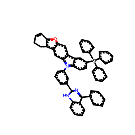 C1=Cc2oc3cc4c5cc([Si](c6ccccc6)(c6ccccc6)c6ccccc6)ccc5n(-c5cccc(C6N=C(c7ccccc7)c7ccccc7N6)c5)c4cc3c2CC1